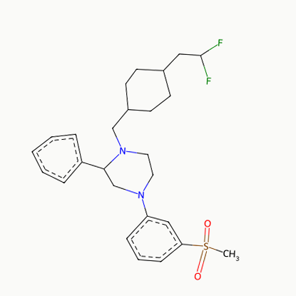 CS(=O)(=O)c1cccc(N2CCN(CC3CCC(CC(F)F)CC3)C(c3ccccc3)C2)c1